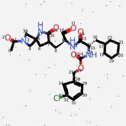 CC(=O)N1CC2(CC(C[C@@H](C=O)NC(=O)[C@H](CC3CCCCC3)NC(=O)OCc3cccc(Cl)c3)C(=O)N2)C1